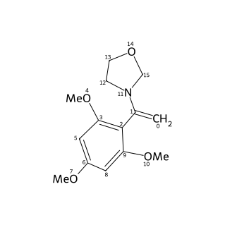 C=C(c1c(OC)cc(OC)cc1OC)N1CCOC1